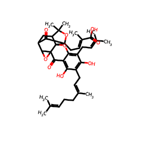 CC(C)=CCC/C(C)=C/Cc1c(O)c(CC=C(C)C)c2c(c1O)C(=O)C13OC1C1CC4C(C)(C)OC(C/C=C(\C)C(=O)O)(C1=O)C43O2